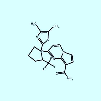 Cc1nc([N+]2(c3ccn4ncc(C(N)=O)c4n3)CCCC2C(F)(F)F)sc1C